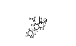 O=C1CCc2cc(-c3cccnc3)cc(C3CC3)c2N1